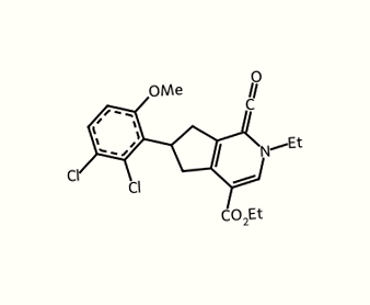 CCOC(=O)C1=CN(CC)C(=C=O)C2=C1CC(c1c(OC)ccc(Cl)c1Cl)C2